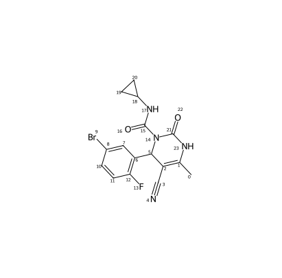 CC1=C(C#N)C(c2cc(Br)ccc2F)N(C(=O)NC2CC2)C(=O)N1